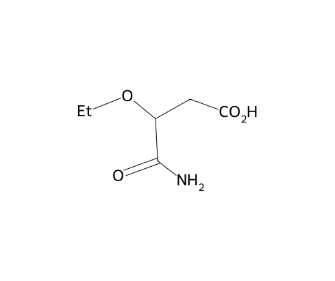 CCOC(CC(=O)O)C(N)=O